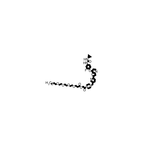 COCCOCCOCCOCCOCCC(=O)OCC(=O)N1CCN(Cc2ccc(-c3cc4nccc(Oc5ccc(NC(=O)NC6CC6)cc5F)c4s3)nc2)CC1